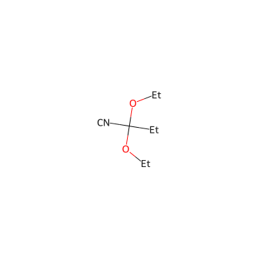 [C-]#[N+]C(CC)(OCC)OCC